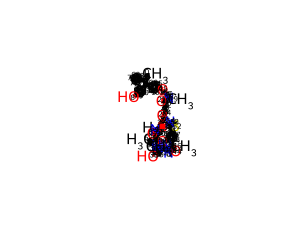 CC/C(=C(/c1ccc(O)cc1)c1ccc(OCCN(C)C(=O)CCCOCCOc2cc([C@H](C(=O)N3C[C@H](O)C[C@@H]3C3=NC(=O)[C@@](C)(c4ccc(-c5scnc5C)cc4)N3)C(C)C)on2)cc1)c1ccccc1